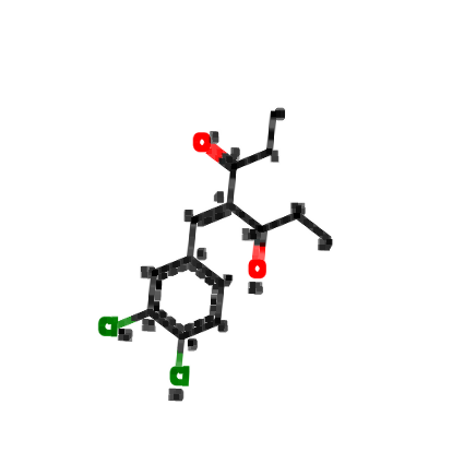 CCC(=O)C(=Cc1ccc(Cl)c(Cl)c1)C(=O)CC